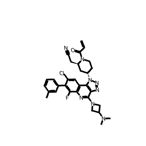 C=CC(=O)N1CC[C@H](n2nnc3c(N4CC(N(C)C)C4)nc4c(F)c(-c5cccc(C)c5)c(Cl)cc4c32)C[C@H]1CC#N